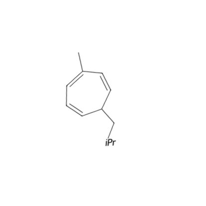 CC1=CC=CC(CC(C)C)C=C1